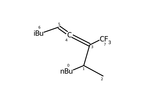 CCCCC(C)C(=C=CC(C)CC)C(F)(F)F